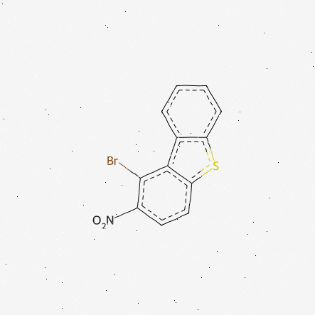 O=[N+]([O-])c1ccc2sc3ccccc3c2c1Br